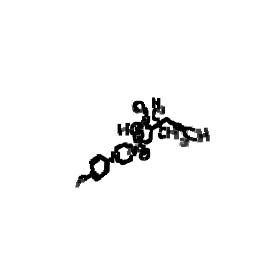 C#CCC(C)(C)C(CS(=O)(=O)N1CCN(c2ccc(F)cc2)CC1)N(O)C=O